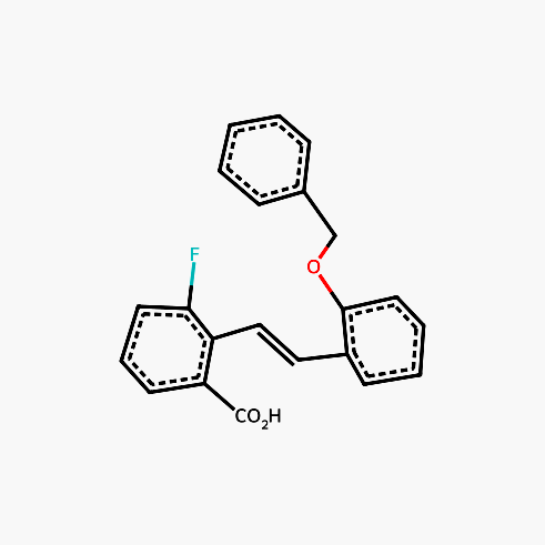 O=C(O)c1cccc(F)c1C=Cc1ccccc1OCc1ccccc1